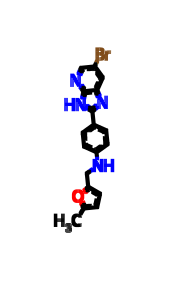 Cc1ccc(CNc2ccc(-c3nc4cc(Br)cnc4[nH]3)cc2)o1